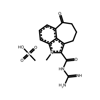 CS(=O)(=O)O.Cn1c(C(=O)NC(=N)N)c2c3c(cccc31)C(=O)CCC2